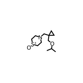 CC(C)OCC1(CN2CC[S+]([O-])CC2)CC1